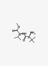 COC(=O)[C@@H](NC(=O)[C@@H](N)C(C)(C)C)C(C)C